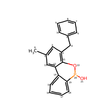 Cc1cc(Cc2ccccc2)c2c(c1)-c1ccccc1P(O)O2